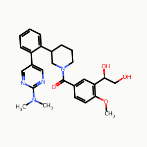 COc1ccc(C(=O)N2CCCC(c3ccccc3-c3cnc(N(C)C)nc3)C2)cc1[C@@H](O)CO